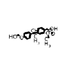 CCOP(=O)(O)Cc1ccc(C(C)(C)c2ccc(OCO)cc2)cc1